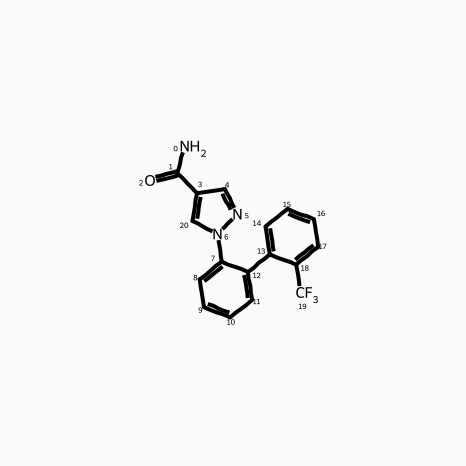 NC(=O)c1cnn(-c2ccccc2-c2ccccc2C(F)(F)F)c1